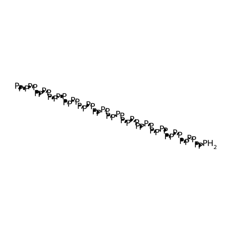 P#P=P\P=P/P=P\P=P/P=P\P=P/P=P\P=P/P=P\P=P/P=P\P=P/P=P\P=P/P=P\P=P/P=P\P=P/P=P\P=P/P=P\P=P/P=P\P=P/P=P\P